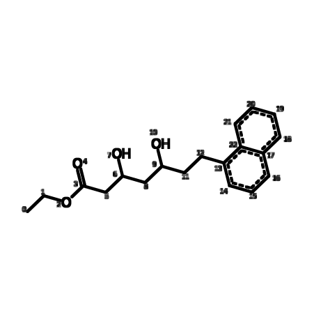 CCOC(=O)CC(O)CC(O)CCc1cccc2ccccc12